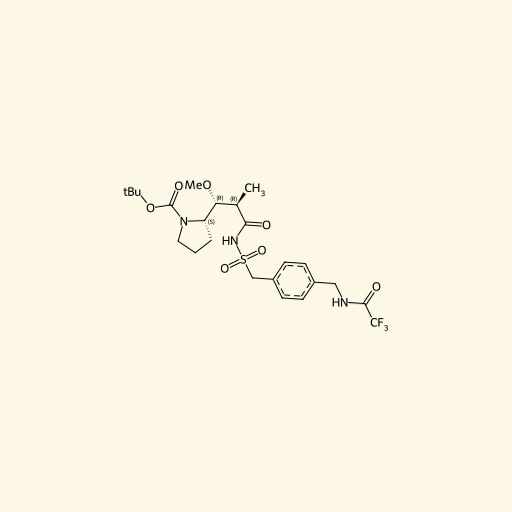 CO[C@H]([C@@H](C)C(=O)NS(=O)(=O)Cc1ccc(CNC(=O)C(F)(F)F)cc1)[C@@H]1CCCN1C(=O)OC(C)(C)C